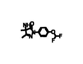 CC1=NN(c2ccc(OC(F)F)cc2)C(=O)C1(C)N